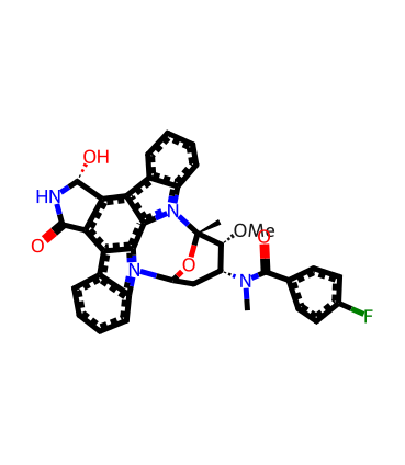 CO[C@@H]1[C@H](N(C)C(=O)c2ccc(F)cc2)CC2O[C@]1(C)n1c3ccccc3c3c4c(c5c6ccccc6n2c5c31)C(=O)N[C@@H]4O